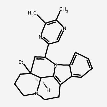 CCC12C=C(c3cnc(C)c(C)n3)n3c4c(c5ccccc53)CCN(CCC1)[C@H]42